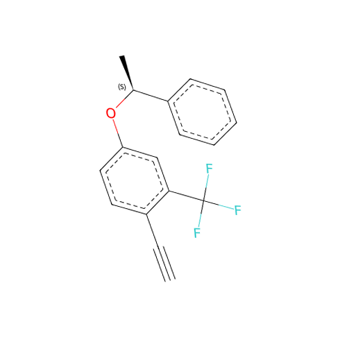 C#Cc1ccc(O[C@@H](C)c2ccccc2)cc1C(F)(F)F